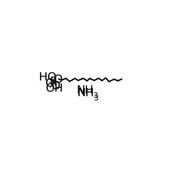 CCCCCCCCCCCCCCCCOP(=O)(O)OO.N.N